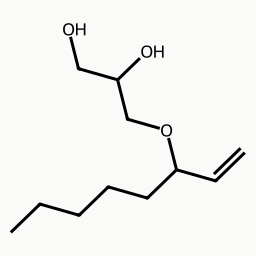 C=CC(CCCCC)OCC(O)CO